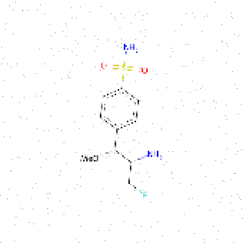 CO[C@H](c1ccc(S(N)(=O)=O)cc1)[C@H](N)CF